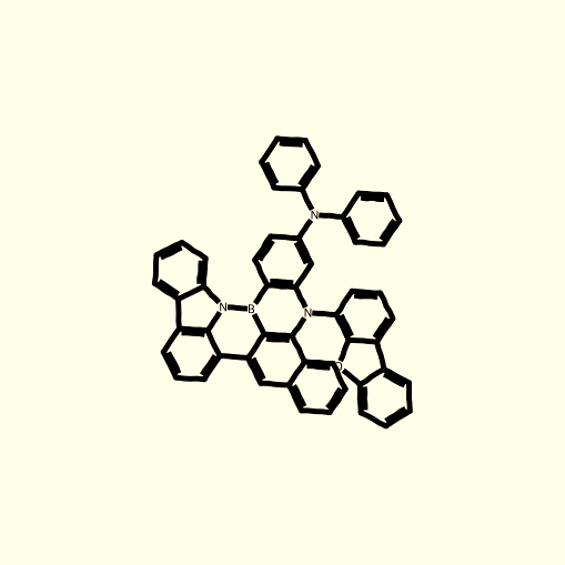 c1ccc(N(c2ccccc2)c2ccc3c(c2)N(c2cccc4c2oc2ccccc24)c2c4c(cc5ccccc25)-c2cccc5c6ccccc6n(c25)B34)cc1